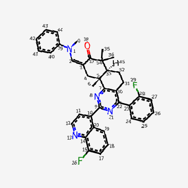 CN(/C=C1/C[C@@]2(C)c3nc(-c4ccnc5c(F)cccc45)nc(-c4ccccc4F)c3CC[C@@H]2C(C)(C)C1=O)c1ccccc1